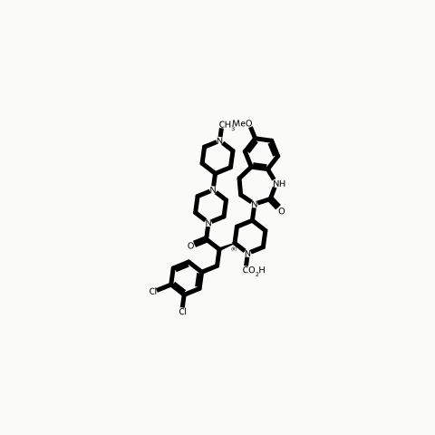 COc1ccc2c(c1)CCN(C1CCN(C(=O)O)[C@@H](C(Cc3ccc(Cl)c(Cl)c3)C(=O)N3CCN(C4CCN(C)CC4)CC3)C1)C(=O)N2